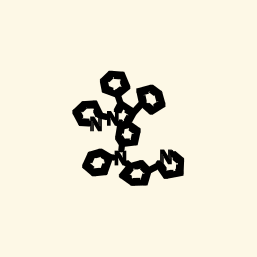 c1ccc(-c2c(-c3ccccc3)n(-c3ccccn3)c3cc(N(c4ccccc4)c4cccc(-c5ccccn5)c4)ccc23)cc1